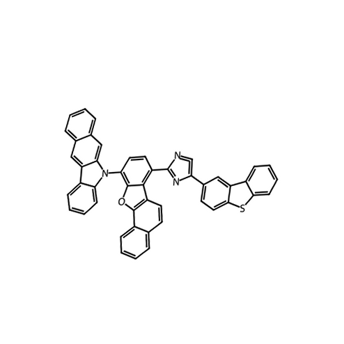 C1=NC(c2ccc(-n3c4ccccc4c4cc5ccccc5cc43)c3oc4c5ccccc5ccc4c23)=NC=1c1ccc2sc3ccccc3c2c1